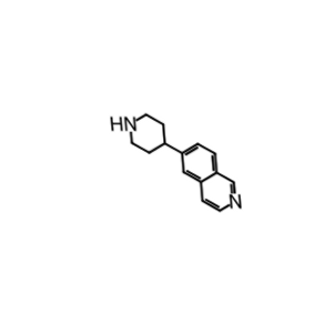 c1cc2cc(C3CCNCC3)ccc2cn1